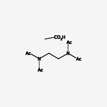 CC(=O)N(CCN(C(C)=O)C(C)=O)C(C)=O.CC(=O)O